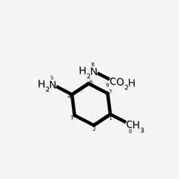 CC1CCC(N)CC1.NC(=O)O